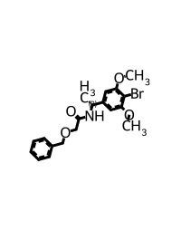 COc1cc([C@@H](C)NC(=O)COCc2ccccc2)cc(OC)c1Br